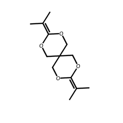 CC(C)=C1OCC2(CO1)COC(=C(C)C)OC2